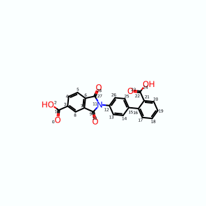 O=C(O)c1ccc2c(c1)C(=O)N(c1ccc(-c3ccccc3C(=O)O)cc1)C2=O